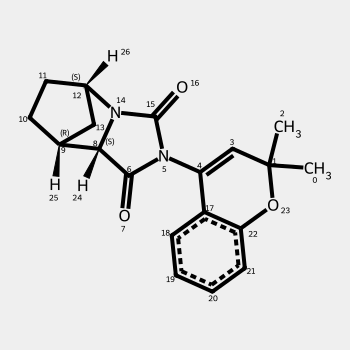 CC1(C)C=C(N2C(=O)[C@@H]3[C@@H]4CC[C@@H](C4)N3C2=O)c2ccccc2O1